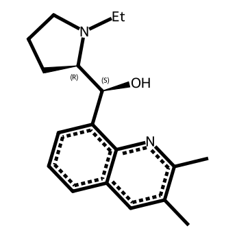 CCN1CCC[C@@H]1[C@@H](O)c1cccc2cc(C)c(C)nc12